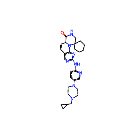 O=C1NCC2(CCCCC2)N2c3nc(Nc4ccc(N5CCN(CC6CC6)CC5)cn4)ncc3C=CC12